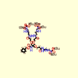 CC(C)(C)OC(=O)N(CNCCNC(=O)CCOCC(COCCC(=O)NCCNCN(OC(C)(C)C)C(=O)OC(C)(C)C)(COCCC(=O)NCCNCN(OC(C)(C)C)C(=O)OC(C)(C)C)NC(=O)OCc1ccccc1)OC(C)(C)C